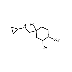 CC(C)(C)C1CC(O)(CNC2CC2)CCN1C(=O)O